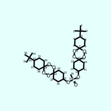 CC(C)(C)C1CCC2(CC1)OOC1(CCC(OP(C)(=O)OC3CCC4(CC3)OOC3(CCC(C(C)(C)C)CC3)OO4)CC1)OO2